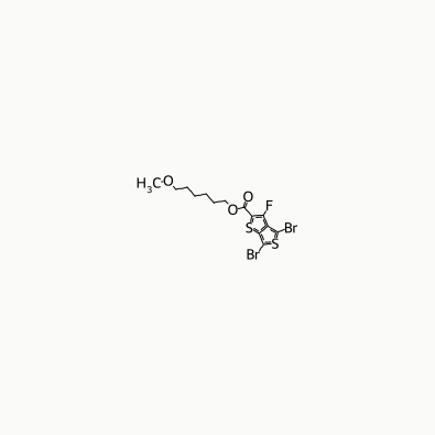 COCCCCCCOC(=O)c1sc2c(Br)sc(Br)c2c1F